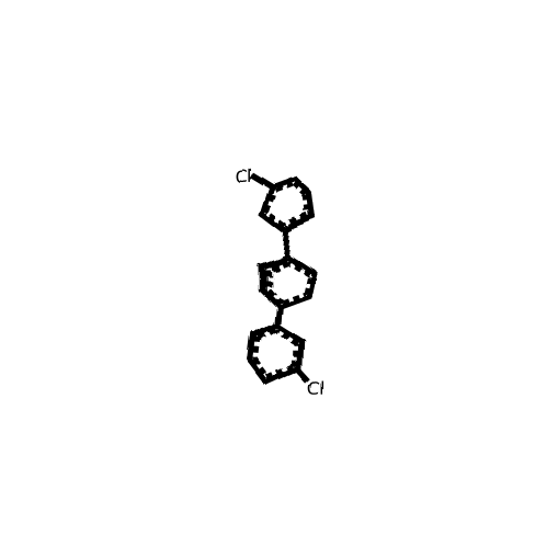 Clc1cccc(-c2ccc(-c3cccc(Cl)c3)cc2)c1